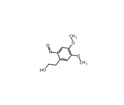 COc1cc(CCO)c(N=O)cc1OC